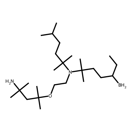 BC(CC)CCC(C)(C)N(CCOC(C)(C)CC(C)(C)N)C(C)(C)CCC(C)C